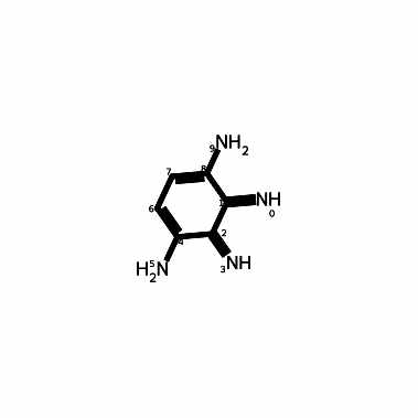 N=C1C(=N)C(N)=CC=C1N